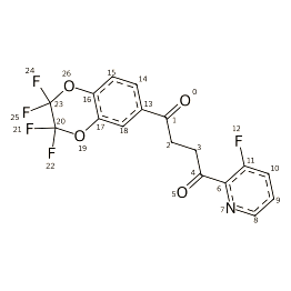 O=C(CCC(=O)c1ncccc1F)c1ccc2c(c1)OC(F)(F)C(F)(F)O2